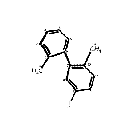 Cc1ccccc1-c1cc(F)ccc1C